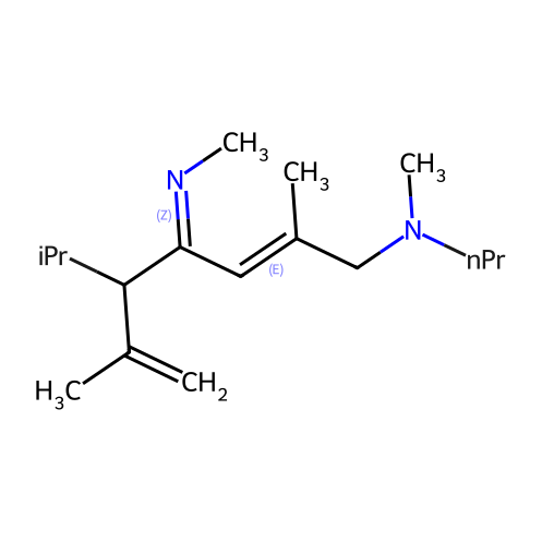 C=C(C)C(C(/C=C(\C)CN(C)CCC)=N/C)C(C)C